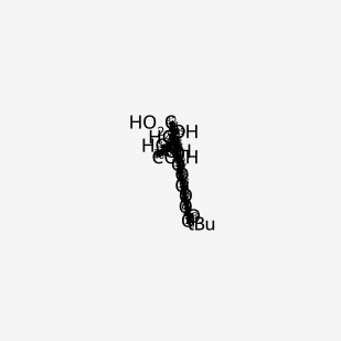 CC(C)(C)OC(=O)CCOCCOCCOCCOCCOCCOCCN(CC(O)C(O)CCC(=O)O)CC(O)C(O)CCC(=O)O